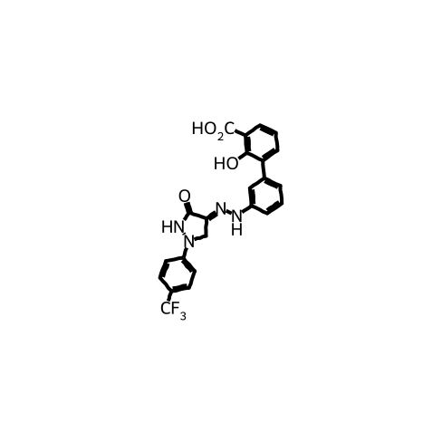 O=C1NN(c2ccc(C(F)(F)F)cc2)CC1=NNc1cccc(-c2cccc(C(=O)O)c2O)c1